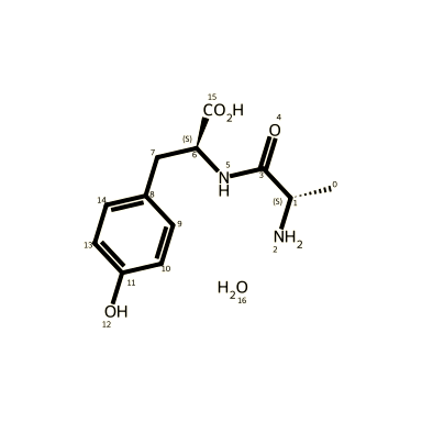 C[C@H](N)C(=O)N[C@@H](Cc1ccc(O)cc1)C(=O)O.O